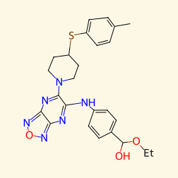 CCOC(O)c1ccc(Nc2nc3nonc3nc2N2CCC(Sc3ccc(C)cc3)CC2)cc1